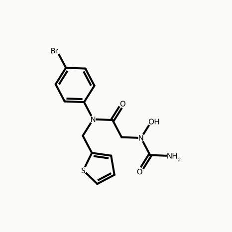 NC(=O)N(O)CC(=O)N(Cc1cccs1)c1ccc(Br)cc1